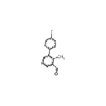 Cc1c(C=O)cncc1-c1ccc(F)cc1